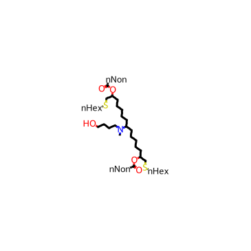 CCCCCCCCCC(=O)OC(CCCCCC(CCCCCC(CSCCCCCC)OC(=O)CCCCCCCCC)N(C)CCCCO)CSCCCCCC